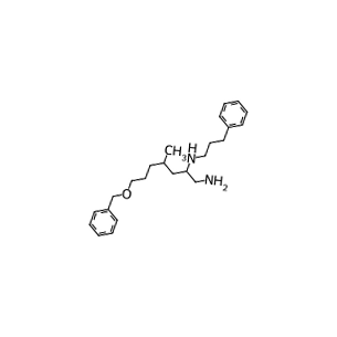 CC(CCCOCc1ccccc1)CC(CN)NCCCc1ccccc1